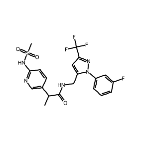 CC(C(=O)NCc1cc(C(F)(F)F)nn1-c1cccc(F)c1)c1ccc(NS(C)(=O)=O)nc1